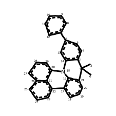 CC1(C)c2ccc(-c3ccccc3)cc2N2c3c(cccc31)-c1cccc3cccc2c13